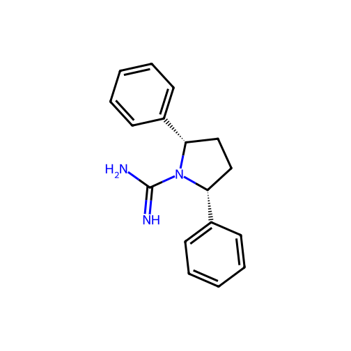 N=C(N)N1[C@@H](c2ccccc2)CC[C@H]1c1ccccc1